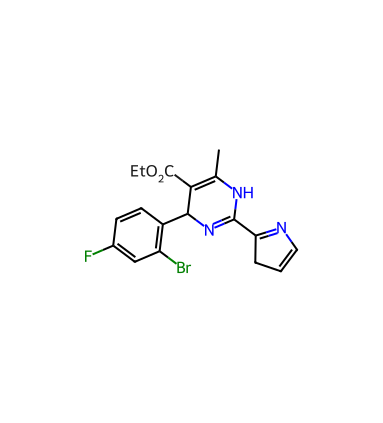 CCOC(=O)C1=C(C)NC(C2=NC=CC2)=NC1c1ccc(F)cc1Br